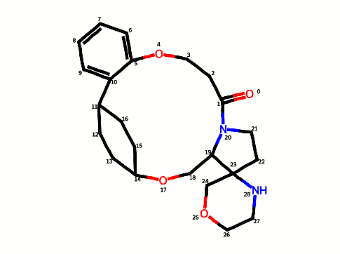 O=C1CCOc2ccccc2C2CCC(CC2)OCC2N1CCC21COCCN1